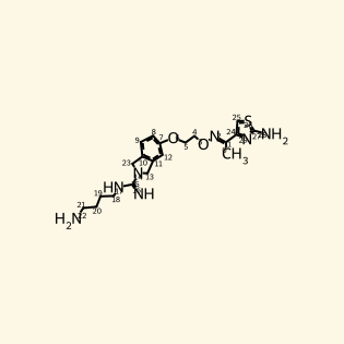 C/C(=N\OCCOc1ccc2c(c1)CN(C(=N)NCCCCN)C2)c1csc(N)n1